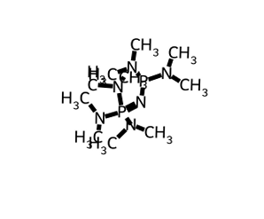 CN(C)P(N=P(N(C)C)(N(C)C)N(C)C)N(C)C